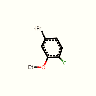 CCOc1cc([C](C)C)ccc1Cl